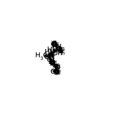 COc1cc(NC(=O)Nc2cc(C(F)(F)F)cnc2-c2ccccc2)cnc1Oc1ccc(-c2cnc(N3CCCC3=O)s2)cc1